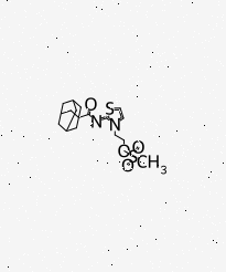 CS(=O)(=O)OCCn1ccsc1=NC(=O)C12CC3CC(CC(C3)C1)C2